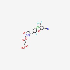 N#Cc1cc(Oc2c(Cl)ccc(Cc3ccc(=O)n(COC(=O)CCC(=O)O)n3)c2F)cc(C(F)F)c1